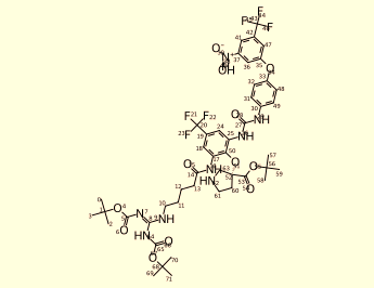 CC(C)(C)OC(=O)N=C(NCCCCC(=O)Nc1cc(C(F)(F)F)cc(NC(=O)Nc2ccc(Oc3cc([NH+]([O-])O)cc(C(F)(F)F)c3)cc2)c1O[C@]1(C(=O)OC(C)(C)C)CCNC1)NC(=O)OC(C)(C)C